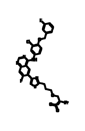 CC(C)C(COCCCc1nc(-c2cc3c(Nc4ccc(OCc5cccc(F)c5)c(Cl)c4)ncnc3cc2F)cs1)=S(=O)=O